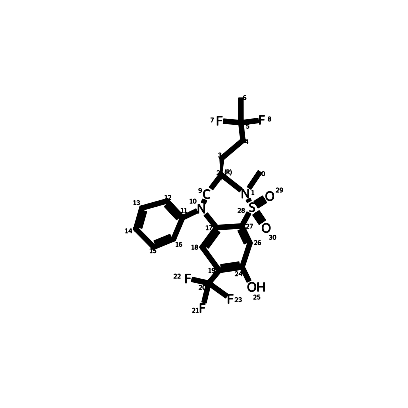 CN1[C@H](CCC(C)(F)F)CN(c2ccccc2)c2cc(C(F)(F)F)c(O)cc2S1(=O)=O